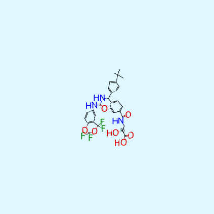 CC(C)(C)c1ccc(C(NC(=O)Nc2ccc3c(c2)C(F)(F)OC(F)(F)O3)c2ccc(C(=O)NC[C@@H](O)C(=O)O)cc2)cc1